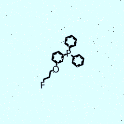 FCCCOc1cccc(P(c2ccccc2)c2ccccc2)c1